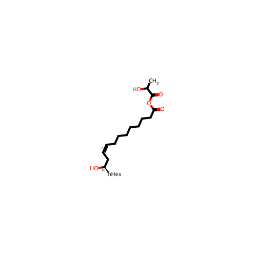 CCCCCC[C@@H](O)C/C=C\CCCCCCCC(=O)OC(=O)C(C)O